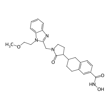 COCCn1c(CN2CCC(C3CCc4cc(C(=O)NO)ccc4C3)C2=O)nc2ccccc21